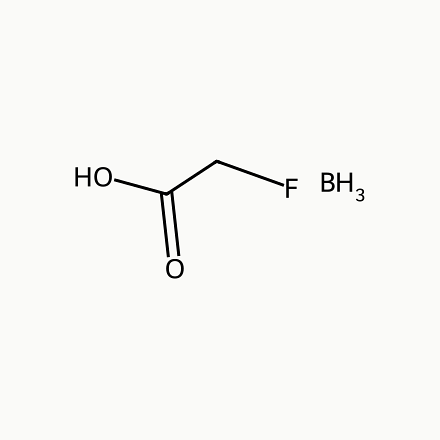 B.O=C(O)CF